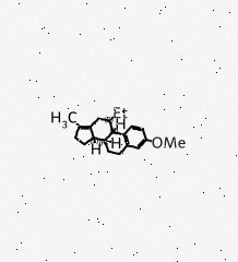 CC[C@@H]1CC2=C(C)CC[C@H]2[C@H]2CCc3cc(OC)ccc3[C@@H]12